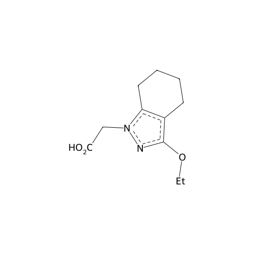 CCOc1nn(CC(=O)O)c2c1CCCC2